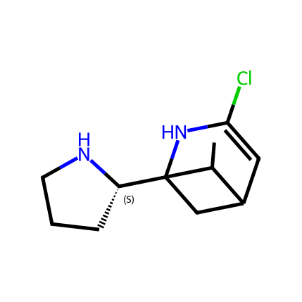 CC1C2C=C(Cl)NC1([C@@H]1CCCN1)C2